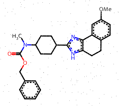 COc1ccc2c(c1)-c1nc(C3CCC(N(C)C(=O)OCc4ccccc4)CC3)[nH]c1CC2